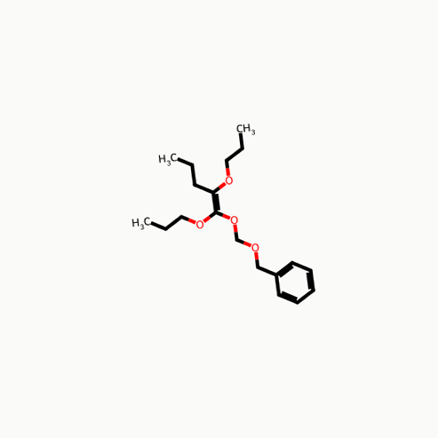 CCCOC(CCC)=C(OCCC)OCOCc1ccccc1